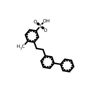 Cc1ccc(S(=O)(=O)O)cc1CCc1cccc(-c2ccccc2)c1